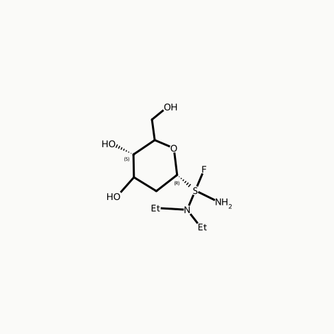 CCN(CC)S(N)(F)[C@@H]1CC(O)[C@H](O)C(CO)O1